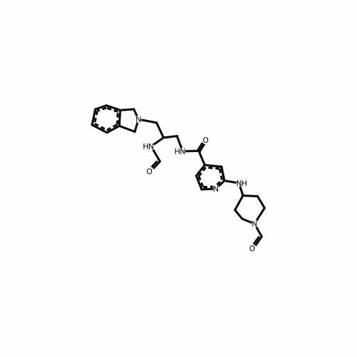 O=CNC(CNC(=O)c1ccnc(NC2CCN(C=O)CC2)c1)CN1Cc2ccccc2C1